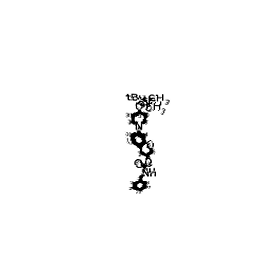 CC(C)(C)[Si](C)(C)OC1CCN(c2ccc3c(c2)OCC(OC(=O)NCc2ccccc2)C3)CC1